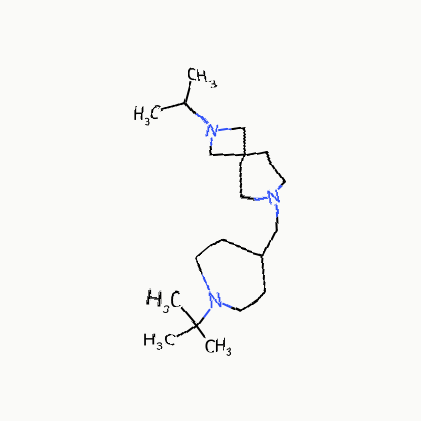 CC(C)N1CC2(CCN(CC3CCN(C(C)(C)C)CC3)C2)C1